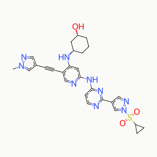 Cn1cc(C#Cc2cnc(Nc3ccnc(-c4cnn(S(=O)(=O)C5CC5)c4)n3)cc2N[C@@H]2CCC[C@H](O)C2)cn1